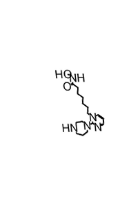 O=C(CCCCCCN1C=CC=NC1N1CCCNCC1)NO